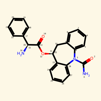 NC(=O)N1c2ccccc2C[C@H](OC(=O)[C@@H](N)c2ccccc2)c2ccccc21